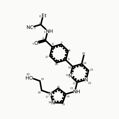 CCC(C#N)NC(=O)c1ccc(-c2nc(Nc3cnn(CCO)c3)ncc2C)cc1